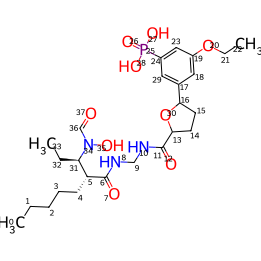 CCCCC[C@@H](C(=O)NCNC(=O)C1CCC(c2cc(OCC)cc(P(=O)(O)O)c2)O1)[C@@H](CC)N(O)C=O